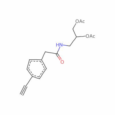 C#Cc1ccc(CC(=O)NCC(COC(C)=O)OC(C)=O)cc1